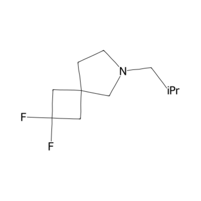 CC(C)CN1CCC2(C1)CC(F)(F)C2